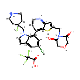 O=C(O)C(F)(F)F.O=C1COCC(=O)N1Cc1cc2nccc(-c3cc(Cl)cc4ccn(CC5(F)CCNCC5)c34)c2s1